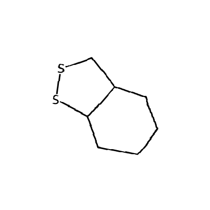 C1CCC2SSCC2C1